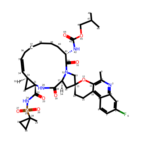 Cc1nc2cc(F)ccc2c2c1O[C@]1(CC2)C[C@H]2C(=O)N[C@]3(C(=O)NS(=O)(=O)C4(C)CC4)C[C@H]3/C=C\CCCCC[C@H](NC(=O)OCC(C)C)C(=O)N2C1